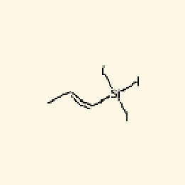 CC=C[Si](I)(I)I